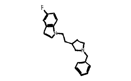 Fc1ccc2c(ccn2CCC2CCN(Cc3ccccc3)C2)c1